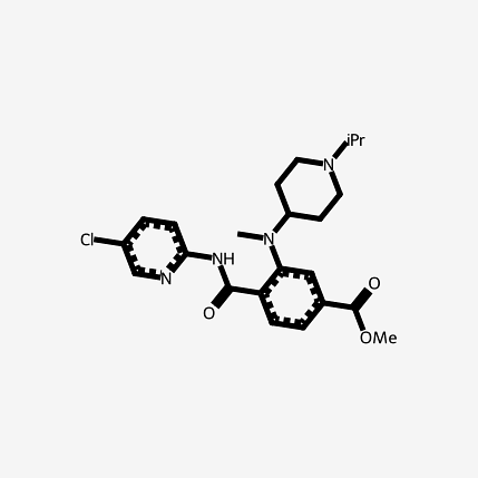 COC(=O)c1ccc(C(=O)Nc2ccc(Cl)cn2)c(N(C)C2CCN(C(C)C)CC2)c1